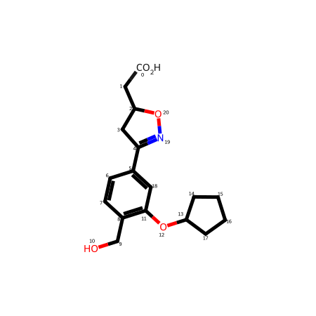 O=C(O)CC1CC(c2ccc(CO)c(OC3CCCC3)c2)=NO1